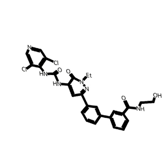 CCn1nc(-c2cccc(-c3cccc(C(=O)NCCO)c3)c2)cc(NC(=O)Nc2c(Cl)cncc2Cl)c1=O